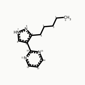 CCCCCc1n[nH]cc1-c1ncccn1